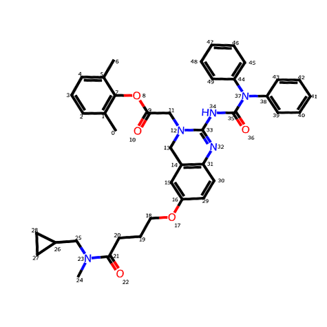 Cc1cccc(C)c1OC(=O)CN1Cc2cc(OCCCC(=O)N(C)CC3CC3)ccc2N=C1NC(=O)N(c1ccccc1)c1ccccc1